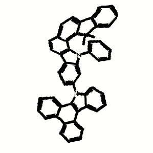 CC1(C)c2ccccc2-c2ccc3ccc4c5ccc(-n6c7ccccc7c7c8ccccc8c8ccccc8c76)cc5n(-c5ccccc5)c4c3c21